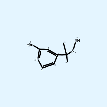 CC(C)(C)c1cc(C(C)(C)SS)ccn1